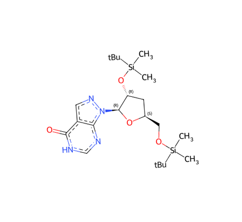 CC(C)(C)[Si](C)(C)OC[C@@H]1C[C@@H](O[Si](C)(C)C(C)(C)C)[C@H](n2ncc3c(=O)[nH]cnc32)O1